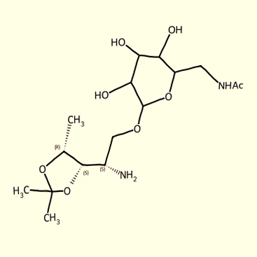 CC(=O)NCC1OC(OC[C@H](N)[C@@H]2OC(C)(C)O[C@@H]2C)C(O)C(O)C1O